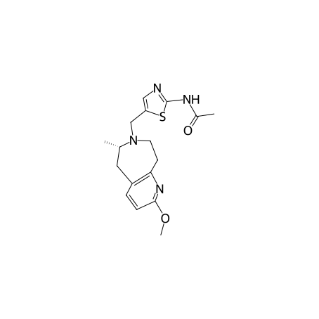 COc1ccc2c(n1)CCN(Cc1cnc(NC(C)=O)s1)[C@@H](C)C2